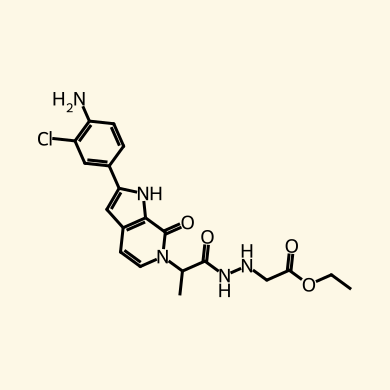 CCOC(=O)CNNC(=O)C(C)n1ccc2cc(-c3ccc(N)c(Cl)c3)[nH]c2c1=O